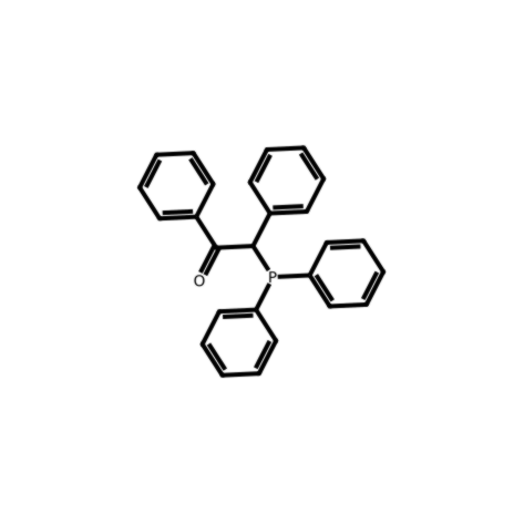 O=C(c1ccccc1)C(c1ccccc1)P(c1ccccc1)c1ccccc1